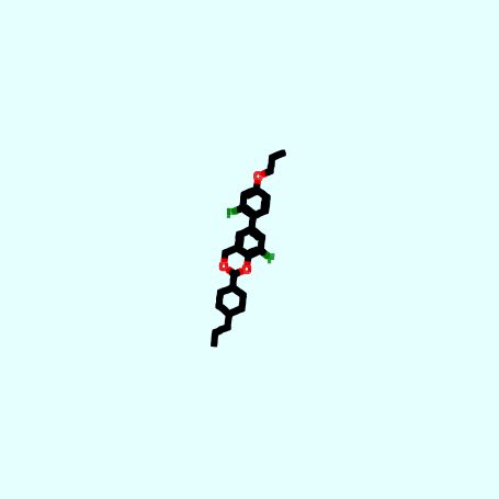 CCCOc1ccc(-c2cc(F)c3c(c2)COC(C2CCC(CCC)CC2)O3)c(F)c1